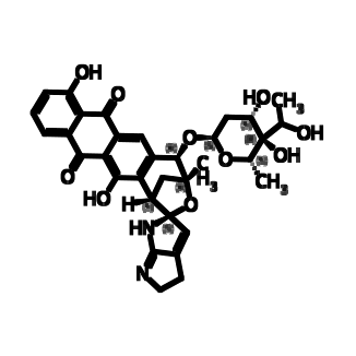 CC(O)[C@]1(O)[C@H](C)O[C@@H](O[C@@H]2c3cc4c(c(O)c3[C@@H]3C[C@@]2(C)O[C@]32C=C3CCN=C3N2)C(=O)c2cccc(O)c2C4=O)C[C@@H]1O